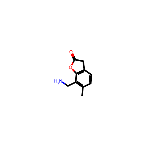 Cc1ccc2c(c1CN)OC(=O)C2